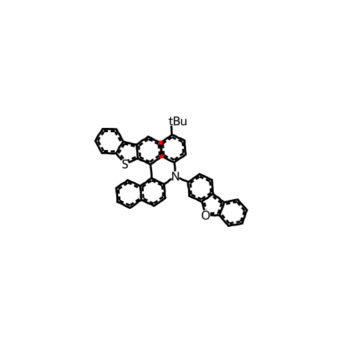 CC(C)(C)c1ccc(N(c2ccc3c(c2)oc2ccccc23)c2ccc3ccccc3c2-c2cccc3c2sc2ccccc23)cc1